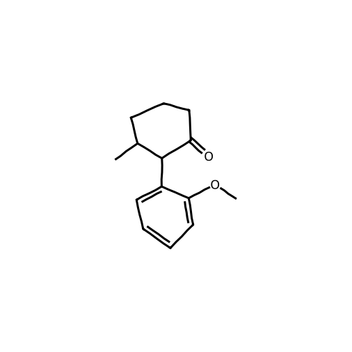 COc1ccccc1C1C(=O)CCCC1C